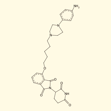 Nc1ccc(N2CCN(CCCCCOc3cccc4c3C(=O)N(C3CCC(=O)NC3=O)C4=O)CC2)cc1